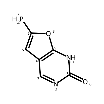 O=c1ncc2cc(P)oc2[nH]1